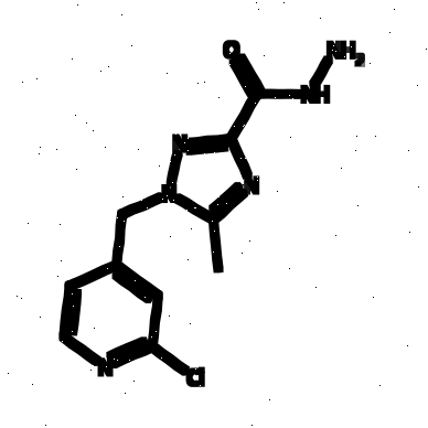 Cc1nc(C(=O)NN)nn1Cc1ccnc(Cl)c1